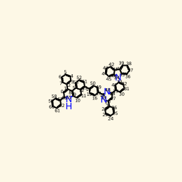 C1=C(c2ccccc2)c2c(ccc3c(-c4ccc(-c5nc(-c6ccccc6)cc(-c6cccc(-n7c8ccccc8c8ccccc87)c6)n5)cc4)cccc23)NC1c1ccccc1